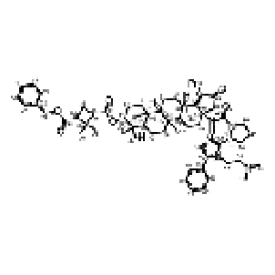 CC(C)C1=C2[C@H]3CC[C@@H]4[C@@]5(C)CC[C@H](OC(=O)[C@H]6C[C@@H](C(=O)OCc7ccccc7)C6(C)C)C(C)(C)[C@@H]5CC[C@@]4(C)[C@]3(C)CC[C@@]2(NC(=O)N2CCC[C@H]2c2ncc(-c3ccccc3)n2CCN(C)C)CC1=O